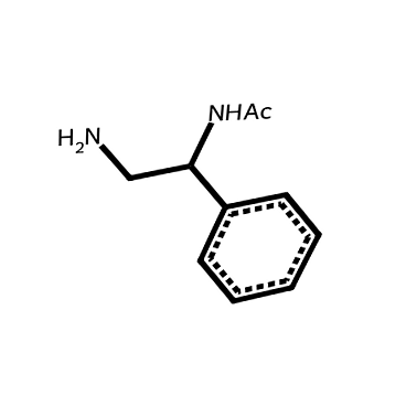 CC(=O)NC(CN)c1ccccc1